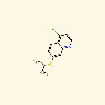 CC(C)Sc1ccc2c(Cl)ccnc2c1